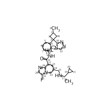 CC1CC(c2cccc(NC(=O)c3cc(CN[C@@H](C)C4CC4)cn4c(F)cnc34)c2)(c2nncn2C)C1